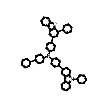 c1ccc(-c2ccc(N(c3ccc(-c4cc(-c5ccccc5)c5oc6ccccc6c5c4)cc3)c3ccc(-c4ccc5c(c4)c4ccccc4n5-c4ccccc4)cc3)cc2)cc1